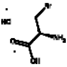 Cl.N[C@H](CBr)C(=O)O